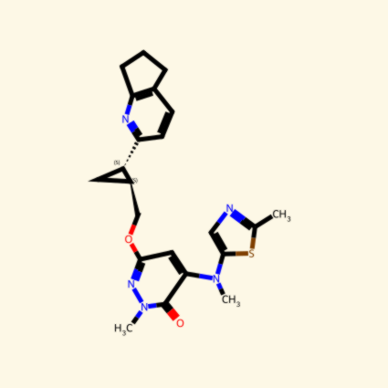 Cc1ncc(N(C)c2cc(OC[C@H]3C[C@@H]3c3ccc4c(n3)CCC4)nn(C)c2=O)s1